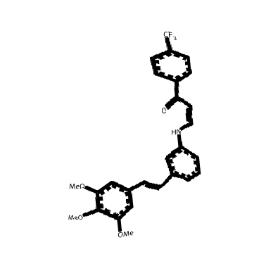 COc1cc(/C=C/c2cccc(N/C=C\C(=O)c3ccc(C(F)(F)F)cc3)c2)cc(OC)c1OC